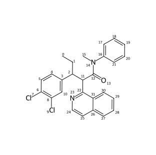 CCC(c1ccc(Cl)c(Cl)c1)C(C(=O)N(C)c1ccccc1)c1nccc2ccccc12